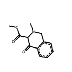 COC(=O)C1C(=O)c2ccccc2CN1C